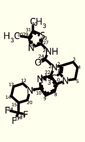 CC1=C2CCCN1c1ccc(N3CCCC(C(F)(F)F)C3)nc1N2C(=O)Nc1nc(C)c(C)s1